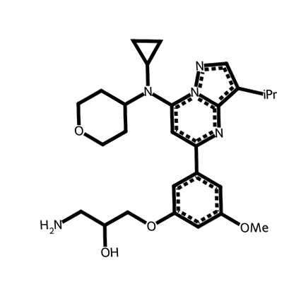 COc1cc(OCC(O)CN)cc(-c2cc(N(C3CCOCC3)C3CC3)n3ncc(C(C)C)c3n2)c1